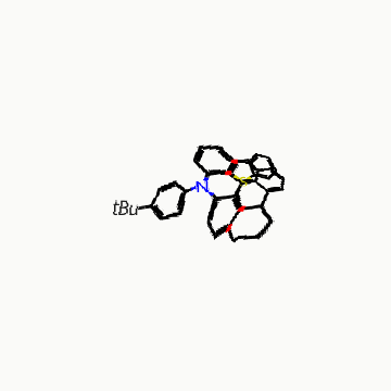 CC(C)(C)c1ccc(N(c2ccccc2-c2cccc3cccc(C4CCCCC4)c23)c2cccc3c2sc2ccccc23)cc1